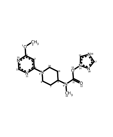 COc1cc(N2CCC(N(C)C(=O)On3cncn3)CC2)ncn1